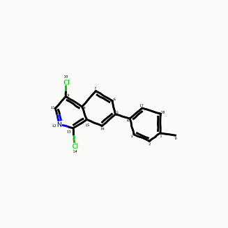 Cc1ccc(-c2ccc3c(Cl)cnc(Cl)c3c2)cc1